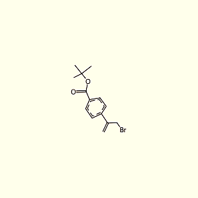 C=C(CBr)c1ccc(C(=O)OC(C)(C)C)cc1